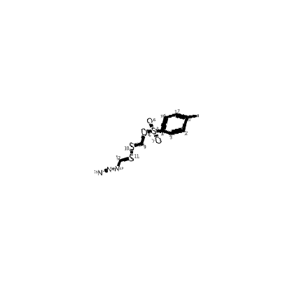 Cc1ccc(S(=O)(=O)OCSSCN=[N+]=[N-])cc1